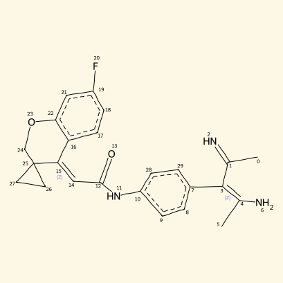 CC(=N)/C(=C(/C)N)c1ccc(NC(=O)/C=C2\c3ccc(F)cc3OCC23CC3)cc1